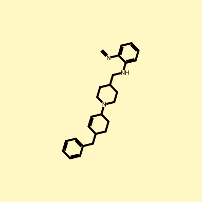 C=Nc1ccccc1NCC1CCN(C2C=CC(Cc3ccccc3)CC2)CC1